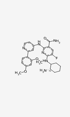 COc1ccc(-c2cc(Nc3nc(NC4CCCC[C@@H]4N)c(F)cc3C(N)=O)ccn2)c(OC)c1